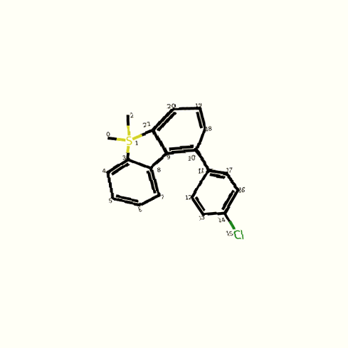 CS1(C)c2ccccc2-c2c(-c3ccc(Cl)cc3)cccc21